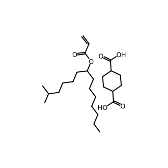 C=CC(=O)OC(CCCCCCC)CCCCC(C)C.O=C(O)C1CCC(C(=O)O)CC1